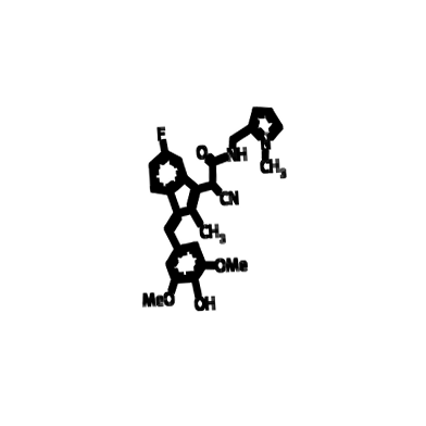 COc1cc(C=C2C(C)=C(C(C#N)C(=O)NCc3cccn3C)c3cc(F)ccc32)cc(OC)c1O